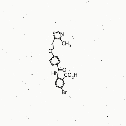 Cc1ncsc1CCOc1ccc(C(=O)Nc2ccc(Br)cc2C(=O)O)cc1